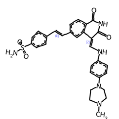 CN1CCN(c2ccc(N/C=C3\C(=O)NC(=O)c4ccc(/C=C/c5ccc(S(N)(=O)=O)cc5)cc43)cc2)CC1